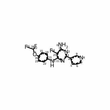 Nc1nc(-c2cccnc2)nc(Nc2ccc(OC(F)F)cc2)c1F